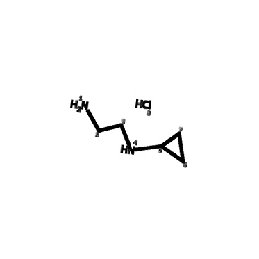 Cl.NCCNC1CC1